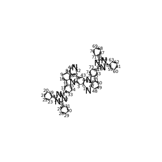 N#Cc1cc(-n2c3ccccc3c3cc(-c4nc(-c5ccccc5)nc(-c5ccccc5)n4)ccc32)c(-c2cccnc2)cc1-n1c2ccccc2c2cc(-c3nc(-c4ccccc4)nc(-c4ccccc4)n3)ccc21